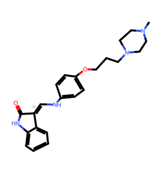 CN1CCN(CCCOc2ccc(N/C=C3/C(=O)Nc4ccccc43)cc2)CC1